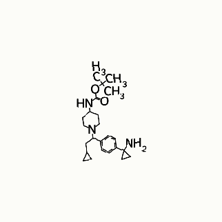 CC(C)(C)OC(=O)NC1CCN(C(CC2CC2)c2ccc(C3(N)CC3)cc2)CC1